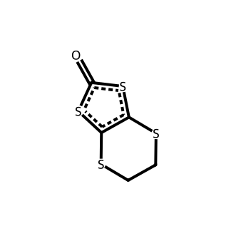 O=c1sc2c(s1)SCCS2